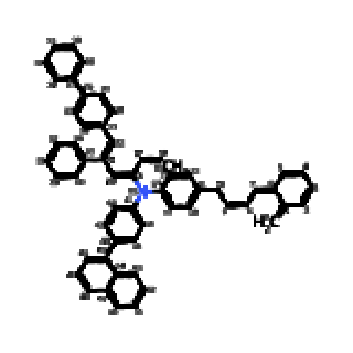 C=c1cccc/c1=C/C=C\Cc1ccc(N(C(/C=C\C)=C/C(=C/c2ccc(-c3ccccc3)cc2)c2ccccc2)c2ccc(-c3cccc4ccccc34)cc2)cc1